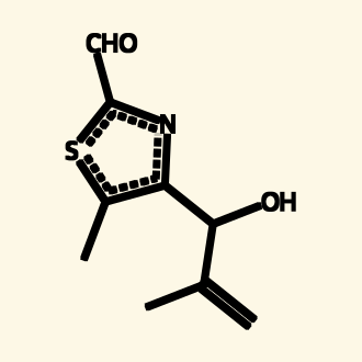 C=C(C)C(O)c1nc(C=O)sc1C